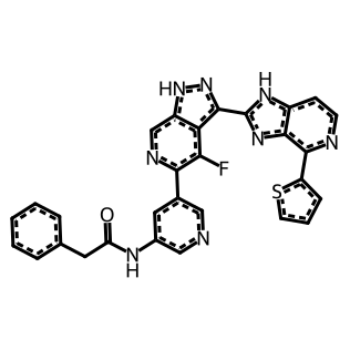 O=C(Cc1ccccc1)Nc1cncc(-c2ncc3[nH]nc(-c4nc5c(-c6cccs6)nccc5[nH]4)c3c2F)c1